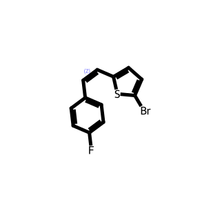 Fc1ccc(/C=C\c2ccc(Br)s2)cc1